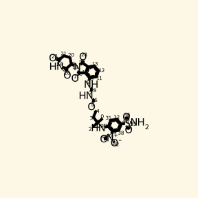 CC(C)(CCOCNCNc1cccc2c1C(=O)N(C1CCC(=O)NC1=O)C2=O)Nc1ccc(S(N)(=O)=O)cc1[N+](=O)[O-]